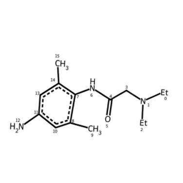 CCN(CC)CC(=O)Nc1c(C)cc(N)cc1C